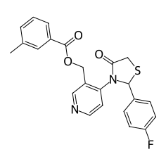 Cc1cccc(C(=O)OCc2cnccc2N2C(=O)CSC2c2ccc(F)cc2)c1